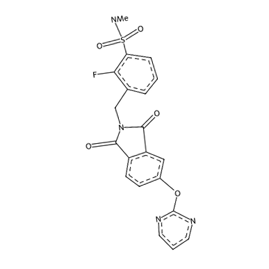 CNS(=O)(=O)c1cccc(CN2C(=O)c3ccc(Oc4ncccn4)cc3C2=O)c1F